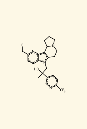 CC(O)(Cn1c2c(c3nc(CF)ncc31)C1CCCN1CC2)c1ccc(C(F)(F)F)nc1